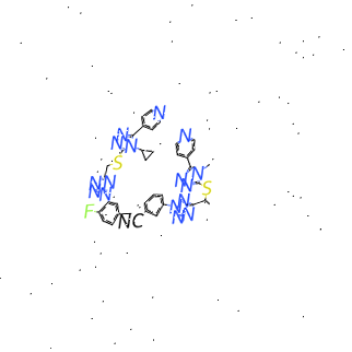 CC(Sc1nnc(-c2ccncc2)n1C)c1nnn(-c2cccc(C#N)c2)n1.Cc1ccc(F)c(-n2nnc(CSc3nnc(-c4ccncc4)n3C3CC3)n2)c1